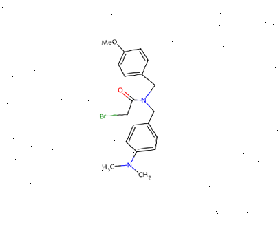 COc1ccc(CN(Cc2ccc(N(C)C)cc2)C(=O)CBr)cc1